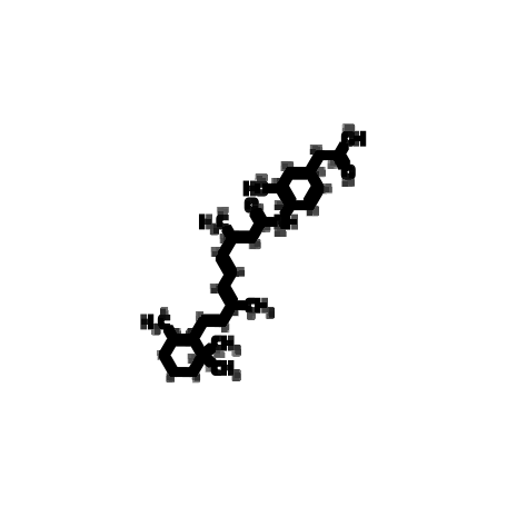 CC(C=CC1=C(C)CCCC1(C)C)=CC=CC(C)=CC(=O)Nc1ccc(CC(=O)O)cc1O